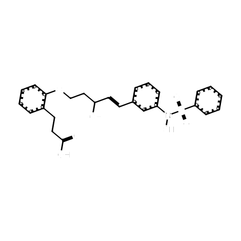 CN(c1cccc(/C=C/C(O)CCOc2ccccc2CCC(=O)O)c1)S(=O)(=O)c1ccccc1